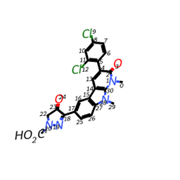 Cn1c(=O)c(-c2ccc(Cl)cc2Cl)cc2c3cc(C4=NN(C(=O)O)CC4=O)ccc3n(C)c21